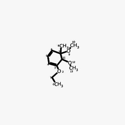 CCOC1=CC=CC(C)(OC)C1OC